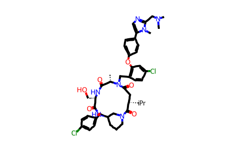 CC(C)[C@H]1CC(=O)N(Cc2ccc(Cl)cc2Oc2ccc(-c3cnc(CN(C)C)n3C)cc2)[C@@H](C)C(=O)N[C@@H](CO)C(=O)N[C@@]2(Cc3ccc(Cl)cc3)CCCN(C2)C1=O